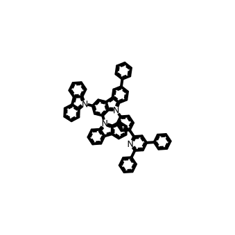 c1ccc(-c2cc(-c3ccccc3)nc(-c3ccc(-n4c5ccc(-c6ccccc6)cc5c5cc(-n6c7ccccc7c7ccccc76)cc(-n6c7ccccc7c7ccccc76)c54)cc3)c2)cc1